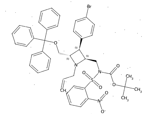 C=CCN1[C@H](COC(c2ccccc2)(c2ccccc2)c2ccccc2)[C@@H](c2ccc(Br)cc2)[C@H]1CN(C(=O)OC(C)(C)C)S(=O)(=O)c1ccccc1[N+](=O)[O-]